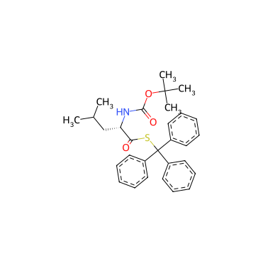 CC(C)C[C@H](NC(=O)OC(C)(C)C)C(=O)SC(c1ccccc1)(c1ccccc1)c1ccccc1